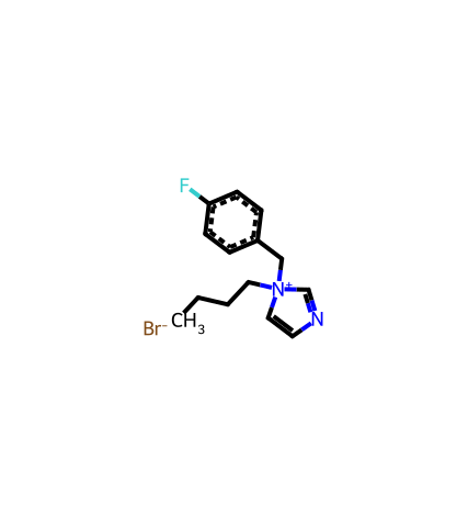 CCCC[N+]1(Cc2ccc(F)cc2)C=CN=C1.[Br-]